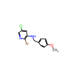 COc1ccc(CNc2cc(Cl)cnc2Br)cc1